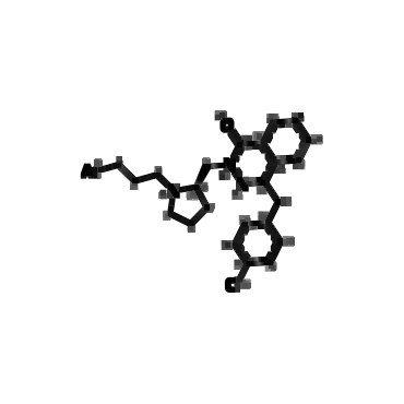 CC(=O)CCCN1CCC[C@@H]1Cn1nc(Cc2ccc(Cl)cc2)c2ccccc2c1=O